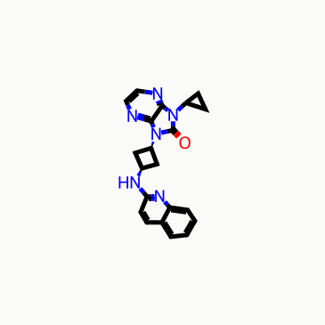 O=c1n(C2CC2)c2nccnc2n1[C@H]1C[C@H](Nc2ccc3ccccc3n2)C1